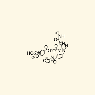 Cc1ccc(C(=O)Nc2ccon2)cc1N(C(=O)OCOC(=O)c1ccc(OP(=O)(O)O)cc1)c1ncnn2cc(C(=O)NC3CC3)c(C)c12